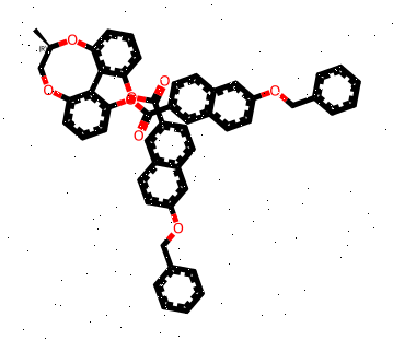 C[C@@H]1COc2cccc(OC(=O)c3ccc4cc(OCc5ccccc5)ccc4c3)c2-c2c(OC(=O)c3ccc4cc(OCc5ccccc5)ccc4c3)cccc2O1